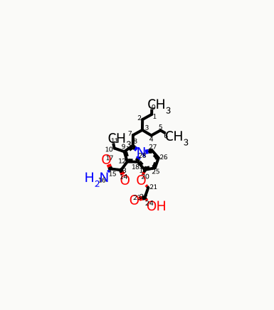 CCCC(CCC)Cc1c(CC)c(C(=O)C(N)=O)c2c(OCC(=O)O)cccn12